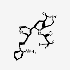 Nc1ccccc1C=Cc1cc(-c2cc3c(n2OC(=O)C(F)(F)F)CCNC3=O)ccn1